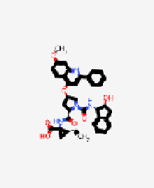 C=C[C@@H]1C[C@]1(NC(=O)[C@@H]1C[C@@H](Oc2cc(-c3ccccc3)nc3cc(OC)ccc23)CN1C(=O)N[C@H]1c2ccccc2C[C@H]1O)C(=O)O